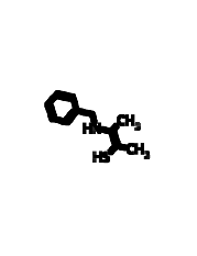 C/C(S)=C(\C)NCc1ccccc1